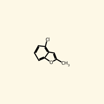 Cc1cc2c(Cl)cccc2o1